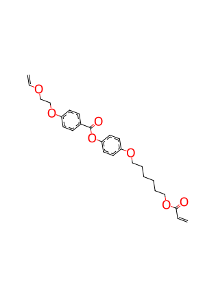 C=COCCOc1ccc(C(=O)Oc2ccc(OCCCCCCOC(=O)C=C)cc2)cc1